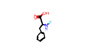 O=C(O)C(Cc1ccccc1)NF